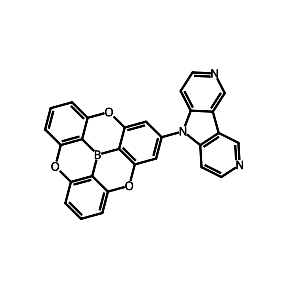 c1cc2c3c(c1)Oc1cc(-n4c5ccncc5c5cnccc54)cc4c1B3c1c(cccc1O4)O2